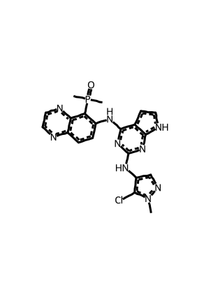 Cn1ncc(Nc2nc(Nc3ccc4nccnc4c3P(C)(C)=O)c3cc[nH]c3n2)c1Cl